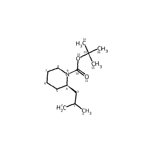 CC(C)C[C@H]1CCCCN1C(=O)OC(C)(C)C